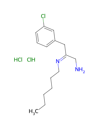 CCCCCCN=C(CN)Cc1cccc(Cl)c1.Cl.Cl